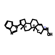 C[C@]12CC/C(=N\O)C=C1CCC1C2CC[C@]2(C)C(n3cnc4ccccc43)=CCC12